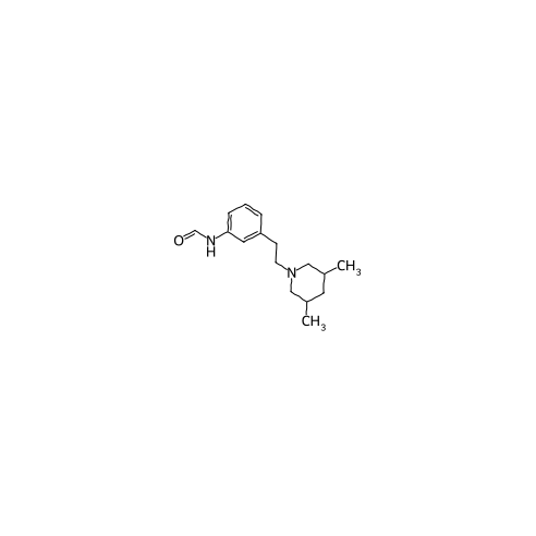 CC1CC(C)CN(CCc2cccc(NC=O)c2)C1